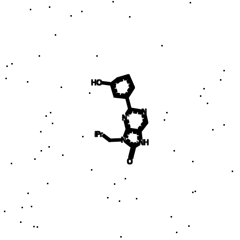 CC(C)Cn1c(=O)[nH]c2cnc(-c3cccc(O)c3)nc21